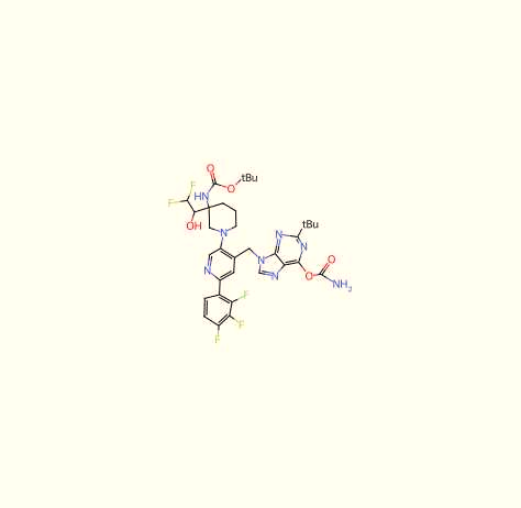 CC(C)(C)OC(=O)NC1(C(O)C(F)F)CCCN(c2cnc(-c3ccc(F)c(F)c3F)cc2Cn2cnc3c(OC(N)=O)nc(C(C)(C)C)nc32)C1